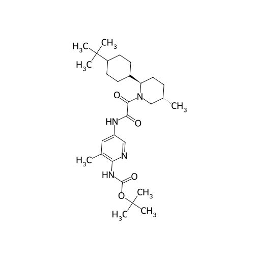 Cc1cc(NC(=O)C(=O)N2C[C@@H](C)CC[C@@H]2C2CCC(C(C)(C)C)CC2)cnc1NC(=O)OC(C)(C)C